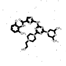 Cc1cccc(Cl)c1NC(=O)c1cnc(Nc2nc(N3CCN(CCO)CC3)nc(N3CC(C)OC(C)C3)n2)s1